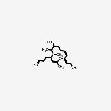 CC/C=C\C=C/CCC(C)C(C)N(C)C(C=C(C)C)CCC=N